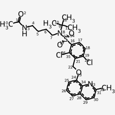 CC(=O)NCCCCN(C(C)(C)C)S(=O)(=O)c1ccc(Cl)c(COc2cccc3ccc(C)nc23)c1Cl